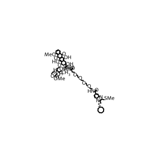 COc1cccc2c1C(=O)c1c(O)c3c(c(O)c1C2=O)C[C@@](O)(C(=O)NNC(=O)CCOCCOCCOCCOCCNC(=O)c1ccc2nc(CSC4CCCCCCC4)c(CSC)nc2c1)C[C@@H]3O[C@H]1C[C@H]2[C@H](O[C@@H]3[C@@H](OC)OCCN32)[C@H](C)O1